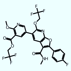 CNC(=O)c1c(-c2ccc(F)cc2)oc2nc(OCC(F)(F)F)c(-c3cnc(OC)c(C(=O)OCC(F)(F)F)c3)cc12